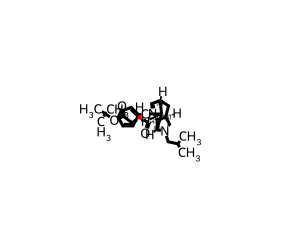 CC(C)CN1C[C@@H]2C[C@H]3C=N[C@]2(C(=O)NCC(=O)OC(C)(C)C)[C@@H]1[C@@H]3Cc1ccccc1